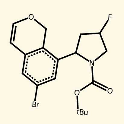 CC(C)(C)OC(=O)N1CC(F)CC1c1cc(Br)cc2c1COC=C2